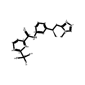 C[C@H](Cc1nncn1C)c1cccc(NC(=O)c2ccnc(C(F)(F)F)n2)c1